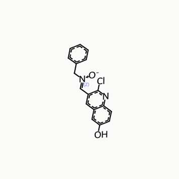 [O-]/[N+](=C\c1cc2cc(O)ccc2nc1Cl)Cc1ccccc1